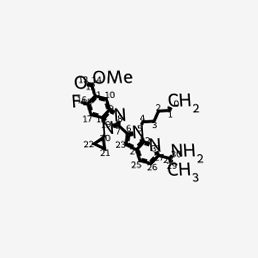 C=CCCCn1c(-c2nc3cc(C(=O)OC)c(F)cc3n2C2CC2)cc2ccc(C(C)N)nc21